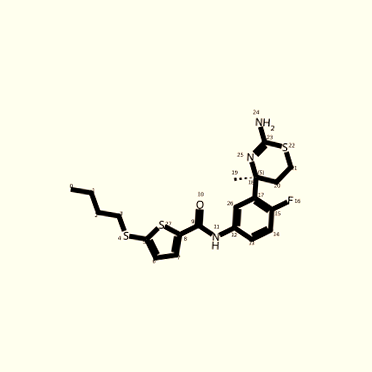 CCCCSc1ccc(C(=O)Nc2ccc(F)c([C@]3(C)CCSC(N)=N3)c2)s1